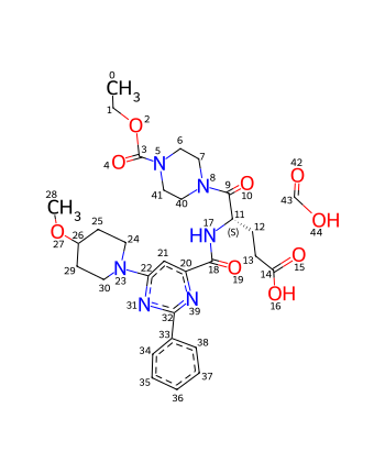 CCOC(=O)N1CCN(C(=O)[C@H](CCC(=O)O)NC(=O)c2cc(N3CCC(OC)CC3)nc(-c3ccccc3)n2)CC1.O=CO